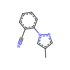 Cc1cnn(-c2ccccc2C#N)c1